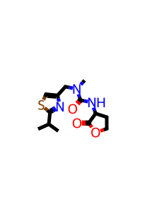 CC(C)c1nc(CN(C)C(=O)NC2CCOC2=O)cs1